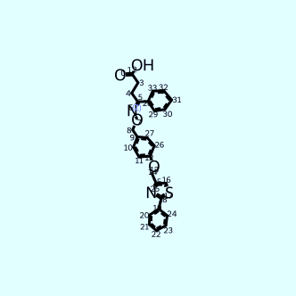 O=C(O)CC/C(=N/OCc1ccc(OCc2csc(-c3ccccc3)n2)cc1)c1ccccc1